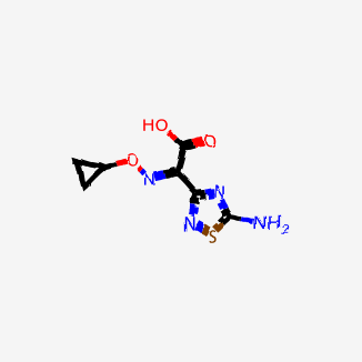 Nc1nc(C(=NOC2CC2)C(=O)O)ns1